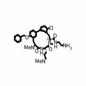 CNCCC[C@@H]1NC(=O)[C@@H](NC)Cc2cc(ccc2OCc2ccccc2)-c2ccc(Cl)c(c2)C[C@@H](C(=O)NCCN)N(C)C1=O